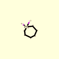 [I][Pt]1([I])[CH2]CCCC[CH2]1